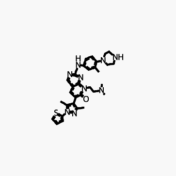 Cc1cc(Nc2ncc3cc(-c4c(C)nn(-c5cccs5)c4C)c(=O)n(CCN(C)C)c3n2)ccc1N1CCNCC1